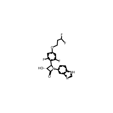 O=C1[C@H](O)C(c2c(F)cc(OCCC(F)F)cc2F)N1c1ccc2[nH]cnc2c1